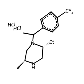 CC[C@@H]1CN[C@@H](C)CN1C(C)c1ccc(C(F)(F)F)cc1.Cl.Cl